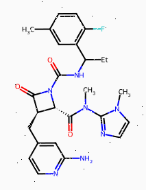 CCC(NC(=O)N1C(=O)[C@H](Cc2ccnc(N)c2)[C@H]1C(=O)N(C)c1nccn1C)c1cc(C)ccc1F